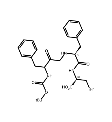 CC(C)C[C@H](NC(=O)[C@H](Cc1ccccc1)NCC(=O)C(Cc1ccccc1)NC(=O)OC(C)(C)C)C(=O)O